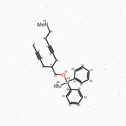 CC#CCC(CC#CCCNC)CO[Si](c1ccccc1)(c1ccccc1)C(C)(C)C